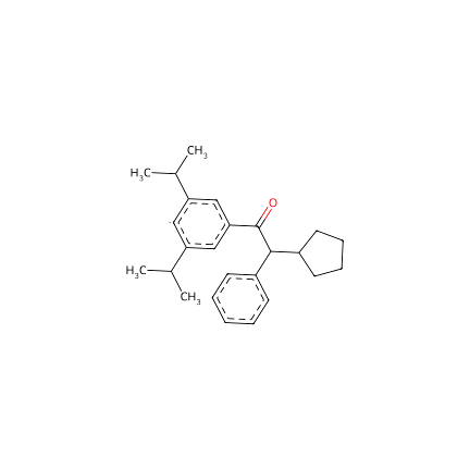 CC(C)c1[c]c(C(C)C)cc(C(=O)C(c2ccccc2)C2CCCC2)c1